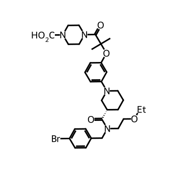 CCOCCN(Cc1ccc(Br)cc1)C(=O)[C@H]1CCCN(c2cccc(OC(C)(C)C(=O)N3CCN(C(=O)O)CC3)c2)C1